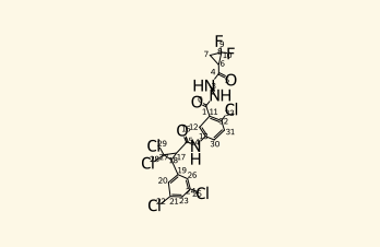 O=C(NNC(=O)C1CC1(F)F)c1cc(NC(=O)C2C(c3cc(Cl)cc(Cl)c3)C2(Cl)Cl)ccc1Cl